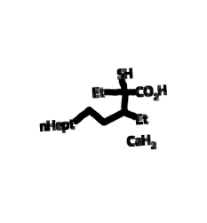 CCCCCCCCCC(CC)C(S)(CC)C(=O)O.[CaH2]